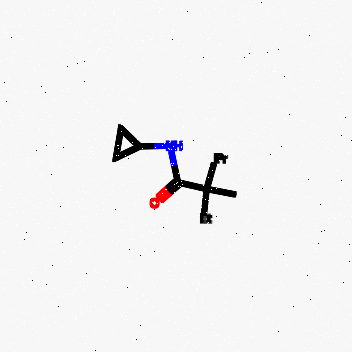 CCC(C)(C(=O)NC1CC1)C(C)C